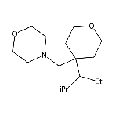 CCC(C(C)C)C1(CN2CCOCC2)CCOCC1